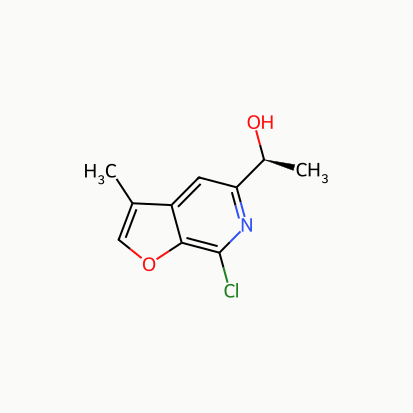 Cc1coc2c(Cl)nc([C@H](C)O)cc12